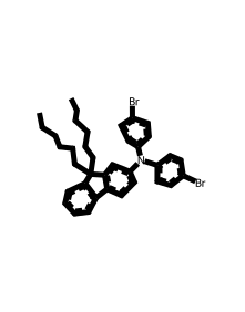 CCCCCCC1(CCCCCC)c2ccccc2-c2ccc(N(c3ccc(Br)cc3)c3ccc(Br)cc3)cc21